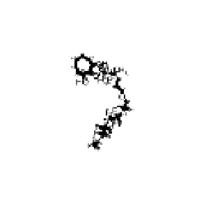 C[Si](C)(CCCOCC(F)(F)OC(F)(F)C(F)(F)OC(F)(F)C(F)(F)OC(F)(F)F)O[Si](C)(C)OC1C(O)CCCCCC1O